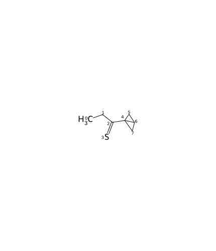 CCC(=S)C12CC1C2